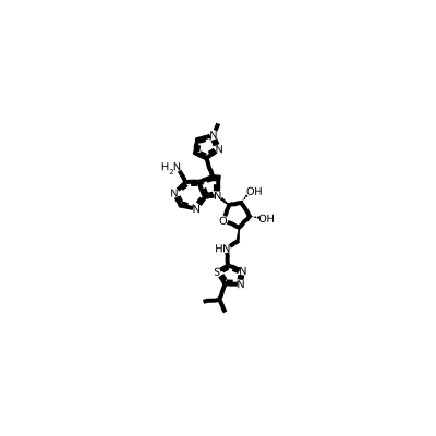 CC(C)c1nnc(NC[C@H]2O[C@@H](n3cc(-c4ccn(C)n4)c4c(N)ncnc43)[C@H](O)[C@@H]2O)s1